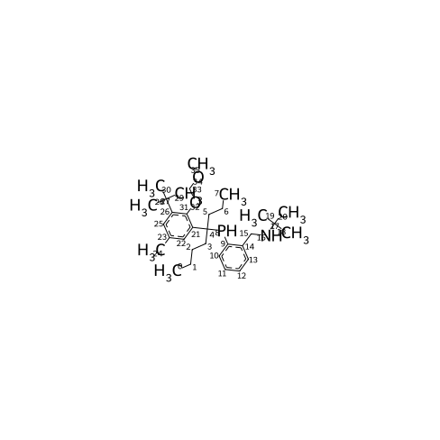 CCCCC(CCC)(Pc1ccccc1CNC(C)(C)C)c1cc(C)cc(C(C)(C)C)c1OCOC